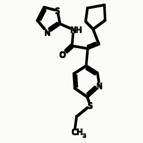 CCSc1ccc(C(=CC2CCCC2)C(=O)Nc2nccs2)cn1